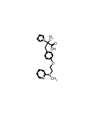 CN(CCOc1ccc(CC(C)(C(=O)O)n2cccc2)cc1)c1ccccn1